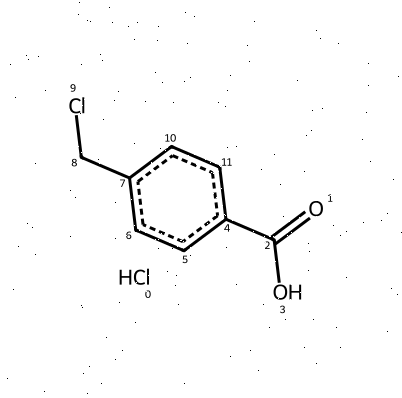 Cl.O=C(O)c1ccc(CCl)cc1